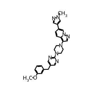 COc1cccc(Cc2cnc(N3CCN(c4cnn5cc(-c6cnn(C)c6)ccc45)CC3)nc2)c1